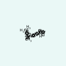 Cc1nc(C(=O)Nc2ccc(N3CCN(C(=O)Nc4c(Cl)cccc4Cl)CC3)cc2)c(-c2ccc(C(C)C)cc2)s1